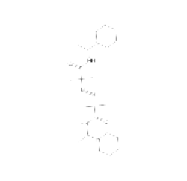 CC(NC(=O)C(C)(C)/N=N/C(C)(C)C(=O)NC(C)N1CCCCC1)N1CCCCC1